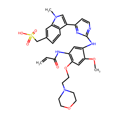 C=CC(=O)Nc1cc(Nc2nccc(-c3cn(C)c4cc(CS(=O)(=O)O)ccc34)n2)c(OC)cc1OCCN1CCOCC1